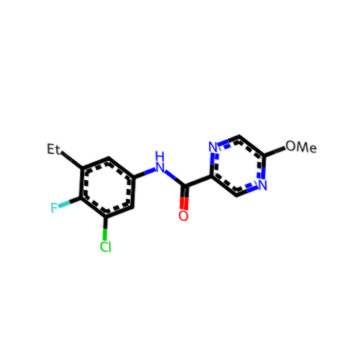 CCc1cc(NC(=O)c2cnc(OC)cn2)cc(Cl)c1F